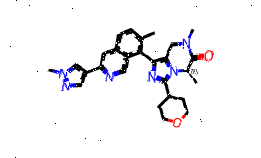 Cc1ccc2cc(-c3cnn(C)c3)ncc2c1-c1nc(C2CCOCC2)n2c1CN(C)C(=O)[C@H]2C